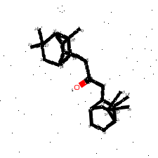 CC1C(CC(=O)CC2C3CCC(C2C)C(C)(C)C3)C2CCC1C(C)(C)C2